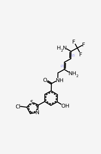 N/C(=C\C=C(/N)C(F)(F)F)CNC(=O)c1cc(O)cc(-c2ncc(Cl)s2)c1